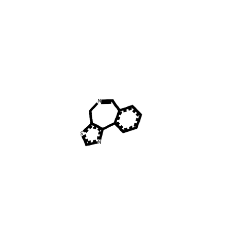 C1=NCc2scnc2-c2ccccc21